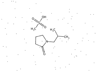 CC(C)CN1CCCC1=O.CS(=O)(=O)O